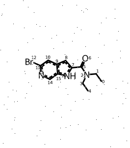 CCN(CC)C(=O)c1cc2cc(Br)ncc2[nH]1